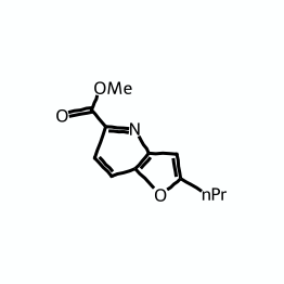 CCCc1cc2nc(C(=O)OC)ccc2o1